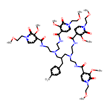 CCCCOCCn1ccc(C(=O)NCCN(CCNC(=O)c2ccn(CCOCCCC)c(=O)c2OCCCC)CC(Cc2ccc([N+](=O)[O-])cc2)CN(CCNC(=O)c2ccn(CCOCCCC)c(=O)c2OCCCC)CCNC(=O)c2ccn(CCOCCCC)c(=O)c2OCCCC)c(OCCCC)c1=O